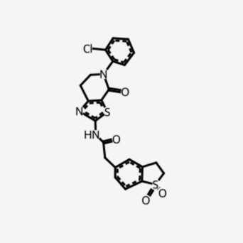 O=C(Cc1ccc2c(c1)CCS2(=O)=O)Nc1nc2c(s1)C(=O)N(c1ccccc1Cl)CC2